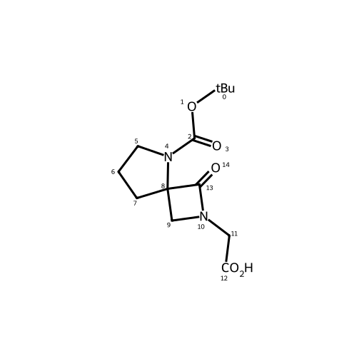 CC(C)(C)OC(=O)N1CCCC12CN(CC(=O)O)C2=O